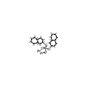 CC(C)[O][Ti]([O]c1ccc2ccccc2c1)([O]c1ccc2ccccc2c1)[O]C(C)C